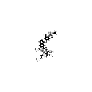 CCCCOP(=O)(NC(=O)c1cc2c(Oc3ccc(NC(=O)NC4CC4)c(Cl)c3)ccnc2cc1OC)NC(C)C(=O)O